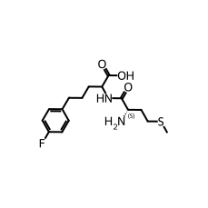 CSCC[C@H](N)C(=O)NC(CCCc1ccc(F)cc1)C(=O)O